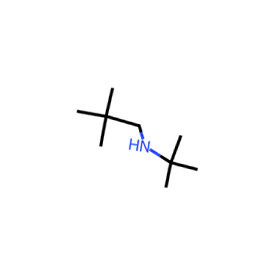 CC(C)(C)CNC(C)(C)C